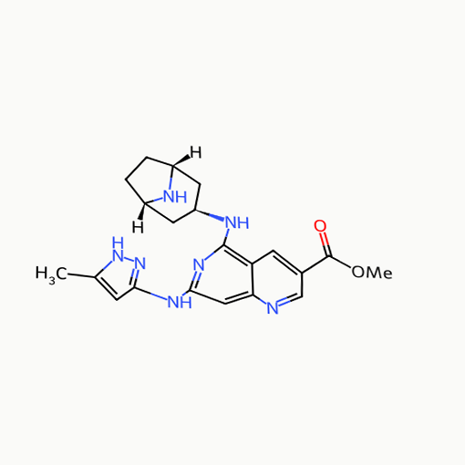 COC(=O)c1cnc2cc(Nc3cc(C)[nH]n3)nc(N[C@@H]3C[C@H]4CC[C@@H](C3)N4)c2c1